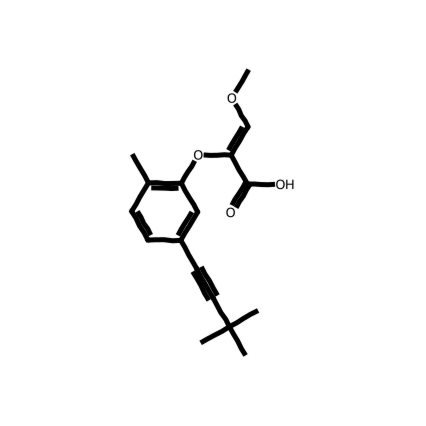 CO/C=C(\Oc1cc(C#CC(C)(C)C)ccc1C)C(=O)O